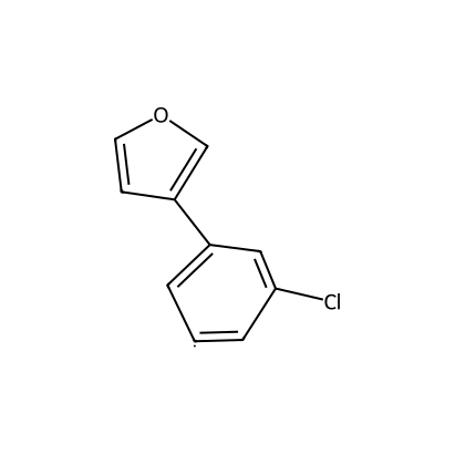 Clc1c[c]cc(-c2ccoc2)c1